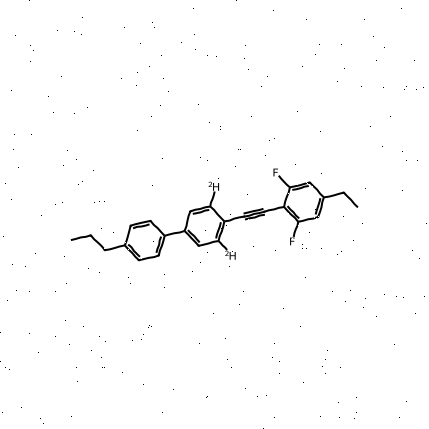 [2H]c1cc(-c2ccc(CCC)cc2)cc([2H])c1C#Cc1c(F)cc(CC)cc1F